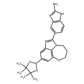 CC1(C)OB(c2cc3c4c(c2)nc(-c2ccc5[nH]c(N)nc5c2)n4CCCO3)OC1(C)C